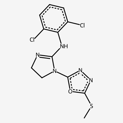 CSc1nnc(N2CCN=C2Nc2c(Cl)cccc2Cl)o1